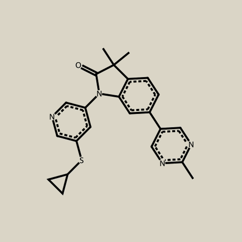 Cc1ncc(-c2ccc3c(c2)N(c2cncc(SC4CC4)c2)C(=O)C3(C)C)cn1